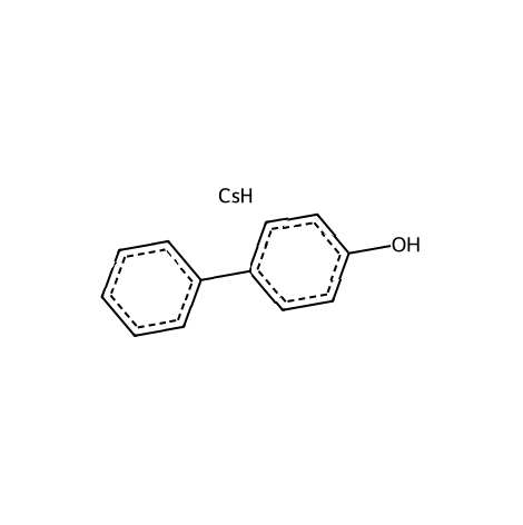 Oc1ccc(-c2ccccc2)cc1.[CsH]